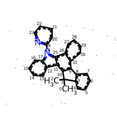 CC1(C)c2ccccc2-c2c1c1c3ccccc3n(-c3ccccn3)c1c1ccccc21